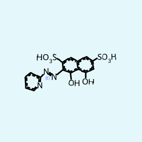 O=S(=O)(O)c1cc(O)c2c(O)c(/N=N/c3ccccn3)c(S(=O)(=O)O)cc2c1